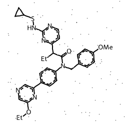 CCOc1cncc(-c2ccc(N(Cc3ccc(OC)cc3)C(=O)C(CC)c3ccnc(NSC4CC4)n3)cc2)n1